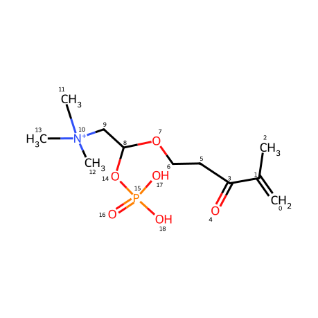 C=C(C)C(=O)CCOC(C[N+](C)(C)C)OP(=O)(O)O